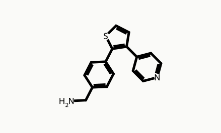 NCc1ccc(-c2sccc2-c2ccncc2)cc1